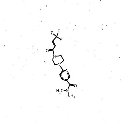 CN(C)C(=O)c1ccc(N2CCN(C(=O)C=CC(F)(F)F)CC2)nc1